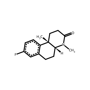 CN1C(=O)CC[C@@]2(C)c3ccc(F)cc3CC[C@@H]12